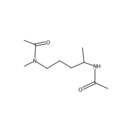 CC(=O)NC(C)CCCN(C)C(C)=O